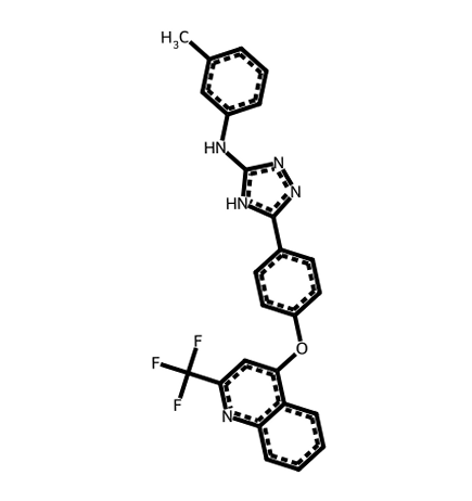 Cc1cccc(Nc2nnc(-c3ccc(Oc4cc(C(F)(F)F)nc5ccccc45)cc3)[nH]2)c1